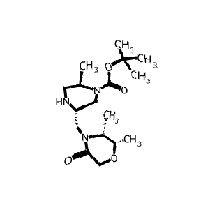 C[C@@H]1OCC(=O)N(C[C@H]2CN(C(=O)OC(C)(C)C)[C@H](C)CN2)[C@@H]1C